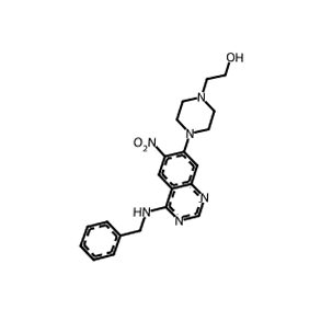 O=[N+]([O-])c1cc2c(NCc3ccccc3)ncnc2cc1N1CCN(CCO)CC1